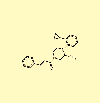 CC1CN(C(=O)C=Cc2ccccc2)CCN1c1ccccc1C1CC1